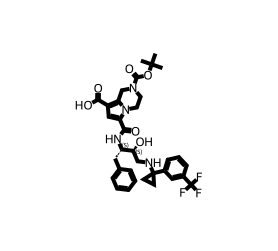 CC(C)(C)OC(=O)N1CCn2c(C(=O)N[C@@H](Cc3ccccc3)[C@@H](O)CNC3(c4cccc(C(F)(F)F)c4)CC3)cc(C(=O)O)c2C1